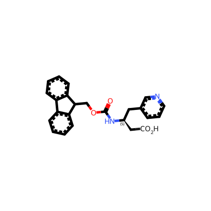 O=C(O)C[C@H](Cc1cccnc1)NC(=O)OCC1c2ccccc2-c2ccccc21